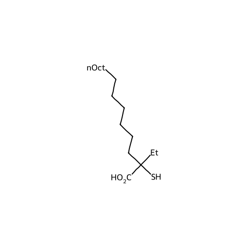 CCCCCCCCCCCCCCC(S)(CC)C(=O)O